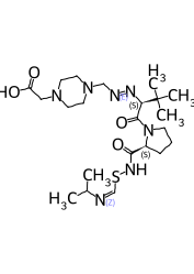 CC(C)/N=C\SNC(=O)[C@@H]1CCCN1C(=O)[C@@H](/N=N/CN1CCN(CC(=O)O)CC1)C(C)(C)C